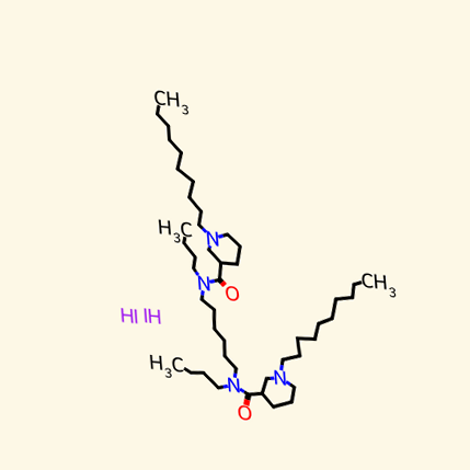 CCCCCCCCCCN1CCCC(C(=O)N(CCCC)CCCCCCN(CCCC)C(=O)C2CCCN(CCCCCCCCCC)C2)C1.I.I